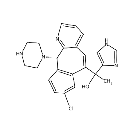 CC(O)(C1=Cc2cccnc2[C@@H](N2CCNCC2)c2ccc(Cl)cc21)c1c[nH]cn1